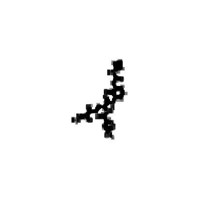 CNC(=O)C(=O)CC[C@H](NC(=O)c1noc(C)n1)C(=O)Nc1cccn(CC(=O)NC23CC(C2)C3)c1=O